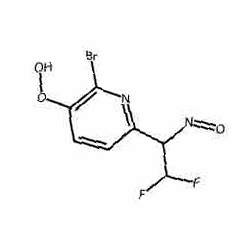 O=NC(c1ccc(OO)c(Br)n1)C(F)F